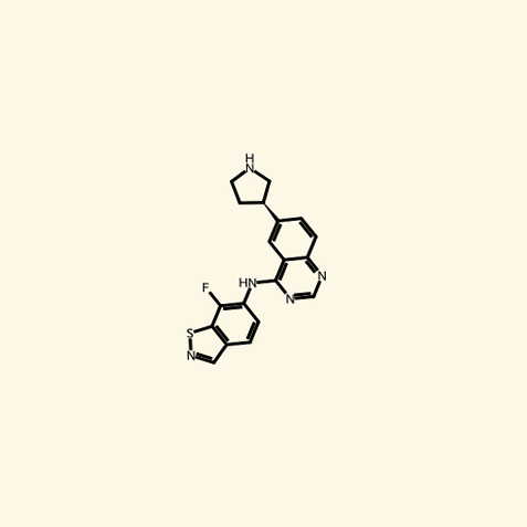 Fc1c(Nc2ncnc3ccc([C@H]4CCNC4)cc23)ccc2cnsc12